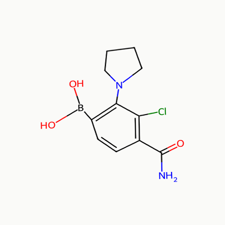 NC(=O)c1ccc(B(O)O)c(N2CCCC2)c1Cl